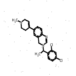 CC(c1ccc(Cl)cc1Cl)N1C=Nc2ccc(C3=CCN(C)CC3)cc2C1